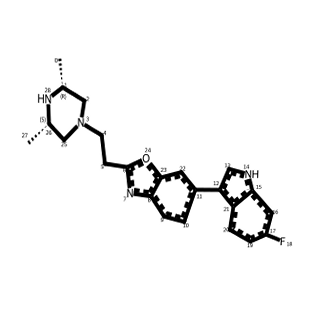 C[C@@H]1CN(CCc2nc3ccc(-c4c[nH]c5cc(F)ccc45)cc3o2)C[C@H](C)N1